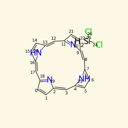 C1=Cc2cc3ccc(cc4nc(cc5ccc(cc1n2)[nH]5)C=C4)[nH]3.Cl[SiH2]Cl